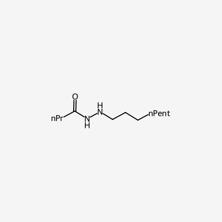 CCCCCCCCNNC(=O)CCC